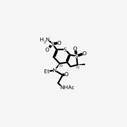 CCN(C(=O)CNC(C)=O)[C@H]1C=C(S(N)(=O)=O)SC2=C1C[C@H](C)S2(=O)=O